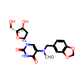 O=CN(Cc1ccc2c(c1)OCO2)c1cn([C@H]2C[C@H](O)[C@@H](CO)O2)c(=O)[nH]c1=O